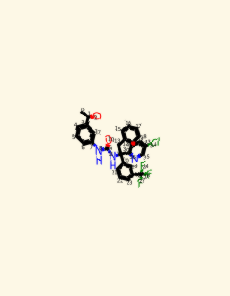 CC(=O)c1cccc(NC(=O)NC(Cc2ccccc2)(c2cccc(C(F)(F)F)c2)c2ccc(Cl)cn2)c1